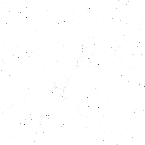 CC1(C)OC(C)(C)/C(=C/NCCN/C=C2\C(=O)C(C)(C)OC2(C)C)C1=O